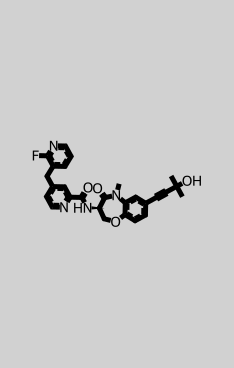 CN1C(=O)[C@H](NC(=O)c2cc(Cc3cccnc3F)ccn2)COc2ccc(C#CC(C)(C)O)cc21